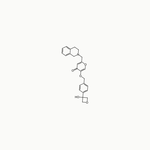 O=c1cc(CN2CCc3ccccc3C2)occ1OCc1ccc(C2(O)COC2)cc1